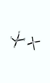 C[S+](C)(C)C.F[B-](F)(F)F